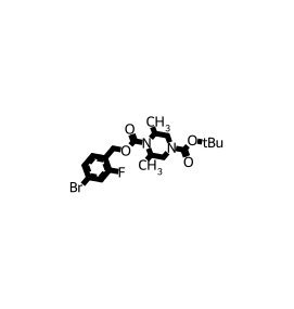 CC1CN(C(=O)OC(C)(C)C)CC(C)N1C(=O)OCc1ccc(Br)cc1F